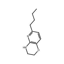 CCCCc1ccc2c(n1)NCCO2